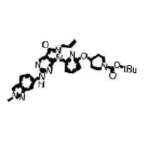 C=CCn1c(=O)c2cnc(Nc3ccc4cn(C)nc4c3)nc2n1-c1cccc(OC2CCN(C(=O)OC(C)(C)C)CC2)n1